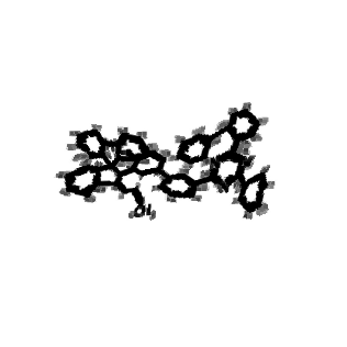 C\C=C/C=C1\C(=C2/C=C(c3cccc(-c4nc(-c5ccccc5)nc(-c5ccccc5-c5ccccc5)n4)c3)C=CC2C)C2(c3ccccc31)c1ccccc1-c1ccccc12